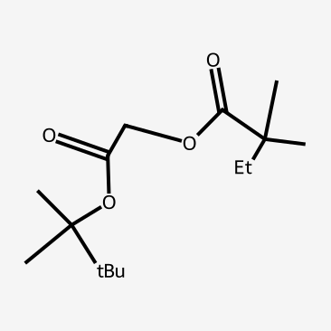 CCC(C)(C)C(=O)OCC(=O)OC(C)(C)C(C)(C)C